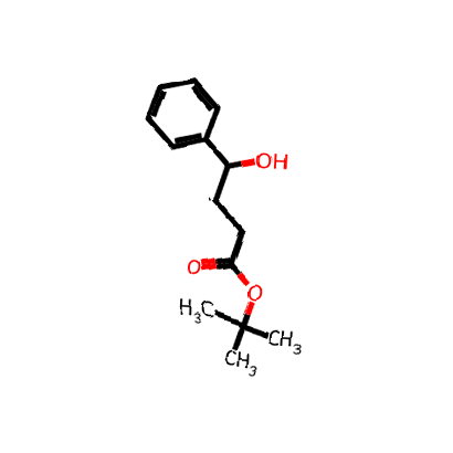 CC(C)(C)OC(=O)C[CH]C(O)c1ccccc1